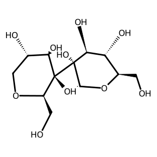 OC[C@H]1O[CH][C@@](O)([C@@]2(O)[C@H](O)[C@@H](O)CO[C@@H]2CO)[C@@H](O)[C@@H]1O